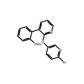 CCc1ccc(Oc2ncccc2-c2ccccc2OC)cn1